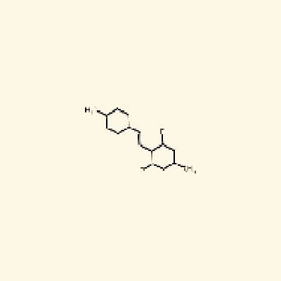 CC1CCC(/C=C/C2C(F)CC(C)CC2F)CC1